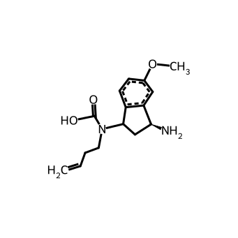 C=CCCN(C(=O)O)C1C[C@H](N)c2cc(OC)ccc21